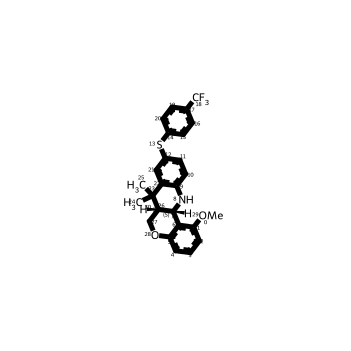 COc1cccc2c1[C@H]1Nc3ccc(Sc4ccc(C(F)(F)F)cc4)cc3C(C)(C)[C@H]1CO2